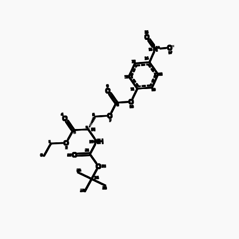 CCOC(=O)[C@H](COC(=O)Oc1ccc([N+](=O)[O-])cc1)NC(=O)OC(C)(C)C